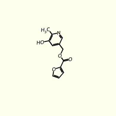 Cc1ncc(COC(=O)c2ccco2)cc1O